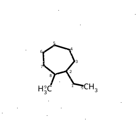 CCC1CCCCCC1C